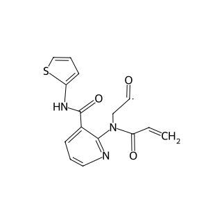 C=CC(=O)N(C[C]=O)c1ncccc1C(=O)Nc1cccs1